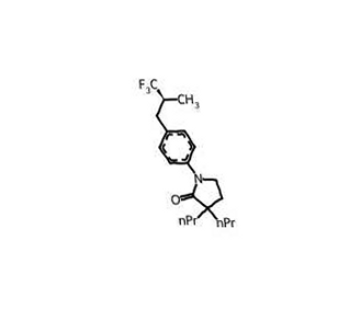 CCCC1(CCC)CCN(c2ccc(C[C@H](C)C(F)(F)F)cc2)C1=O